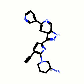 C#Cc1ccc(-c2n[nH]c3cnc(-c4cccnc4)cc23)nc1N1CCC[C@H](N)C1